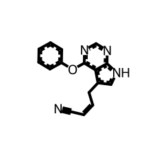 N#C/C=C\Cc1c[nH]c2ncnc(Oc3ccccc3)c12